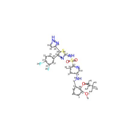 COc1cccc(CNc2cnc(S(=O)(=O)Nc3nc(-c4ccc(F)c(F)c4)c(-c4cc[nH]n4)s3)c(C)c2)c1O[Si](C)(C)C(C)(C)C